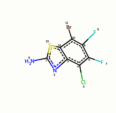 Nc1nc2c(Cl)c(F)c(F)c(Br)c2s1